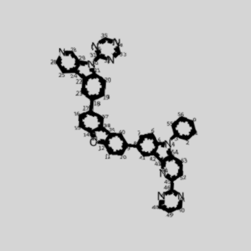 c1ccc(-n2c3ccc(-c4ccc5oc6ccc(-c7ccc8c(c7)c7ccncc7n8-c7ncncn7)cc6c5c4)cc3c3nc(-c4ncccn4)ccc32)cc1